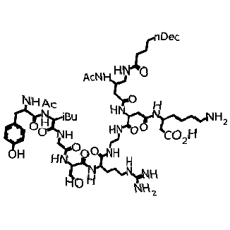 CCCCCCCCCCCCCC(=O)NCC(CC(=O)NC(CC(=O)NC(CCCCN)CC(=O)O)C(=O)NCCNC(=O)C(CCCNC(=N)N)NC(=O)C(CO)NC(=O)CNC(=O)C(NC(=O)C(Cc1ccc(O)cc1)NC(C)=O)C(C)CC)NC(C)=O